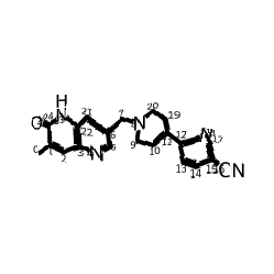 Cc1cc2ncc(CN3CC=C(c4ccc(C#N)cn4)CC3)cc2[nH]c1=O